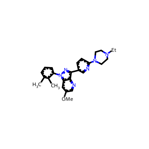 CCN1CCN(c2ccc(-c3nn(-c4cccc(C)c4C)c4cc(OC)cnc34)cn2)CC1